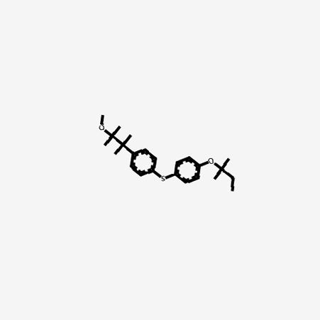 CCC(C)(C)Oc1ccc(Sc2ccc(C(C)(C)C(C)(C)OC)cc2)cc1